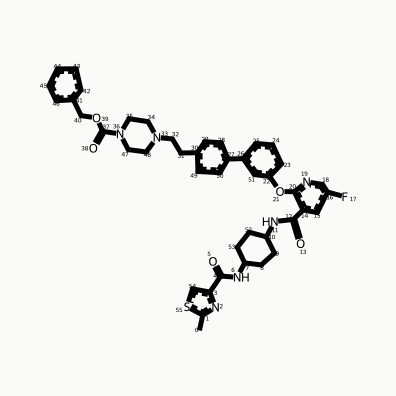 Cc1nc(C(=O)NC2CCC(NC(=O)c3cc(F)cnc3Oc3cccc(-c4ccc(CCN5CCN(C(=O)OCc6ccccc6)CC5)cc4)c3)CC2)cs1